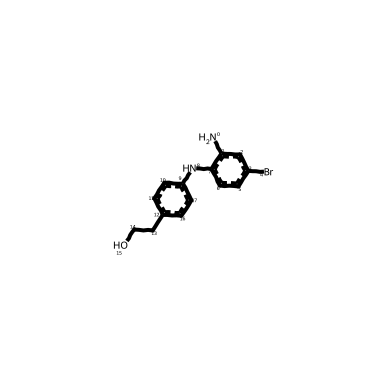 Nc1cc(Br)ccc1Nc1ccc(CCO)cc1